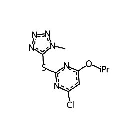 CC(C)Oc1cc(Cl)nc(Sc2nnnn2C)n1